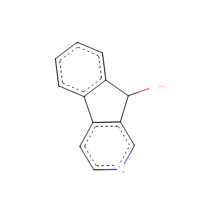 OC1c2ccccc2-c2ccncc21